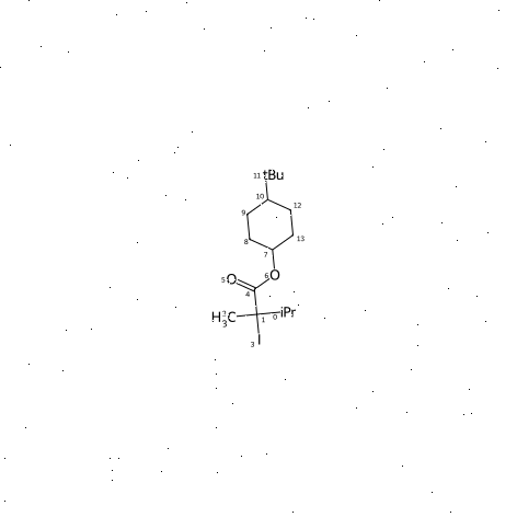 CC(C)C(C)(I)C(=O)OC1CCC(C(C)(C)C)CC1